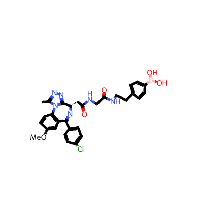 COc1ccc2c(c1)C(c1ccc(Cl)cc1)=N[C@@H](CC(=O)NCC(=O)NCCc1ccc(B(O)O)cc1)c1nnc(C)n1-2